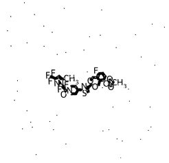 Cc1cc(C(F)(F)F)nn1C(F)(F)C(=O)N1CCC(c2nc(C3OCc4c(F)ccc(OS(C)(=O)=O)c4CO3)cs2)CC1